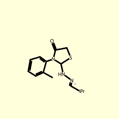 Cc1ccccc1N1C(=O)CSC1N/N=C/C(C)C